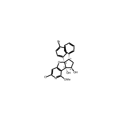 COc1nc(Cl)cc2c1[C@]1(O)[C@H](O)C[C@@H](c3ccccc3)[C@]1(c1ccc(Br)cc1)O2